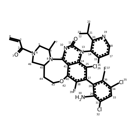 C=CC(=O)N1CC(C)N2c3nc(=O)n(-c4c(C)ccnc4C(C)C)c4c(Cl)c(-c5c(N)c(Cl)cc(Cl)c5F)c(F)c(c34)OCCC2C1